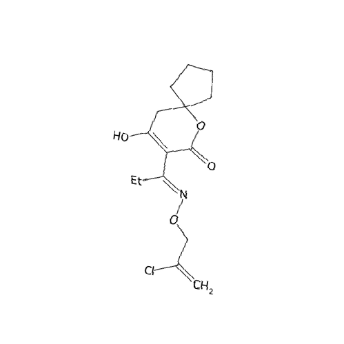 C=C(Cl)CON=C(CC)C1=C(O)CC2(CCCC2)OC1=O